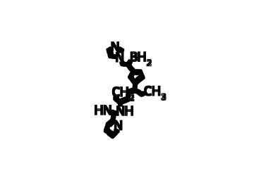 BC(Cn1ccnc1)C1=CC=C(/C(=C/C=C(\C=C)NC(=N)c2ccccn2)CC)C1